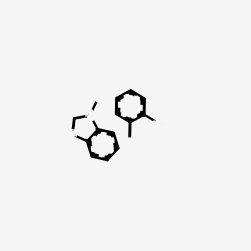 CN1CSc2ccccc21.Cc1ccccc1S(=O)(=O)O